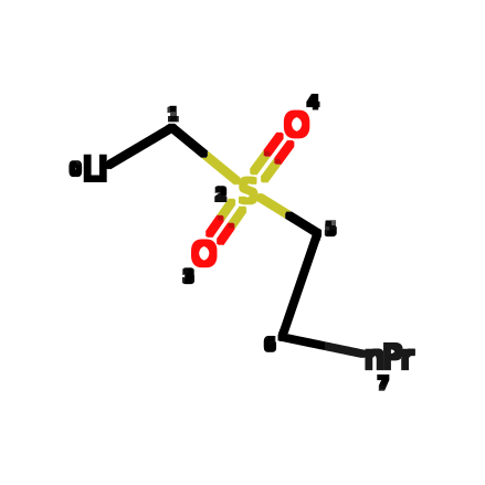 [Li][CH2]S(=O)(=O)CCCCC